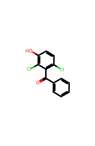 O=C(c1ccccc1)c1c(Cl)ccc(O)c1Cl